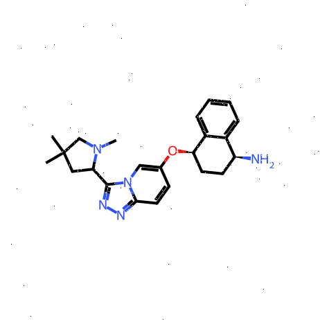 CN1CC(C)(C)CC1c1nnc2ccc(O[C@@H]3CC[C@H](N)c4ccccc43)cn12